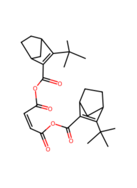 CC(C)(C)C1=C(C(=O)OC(=O)/C=C\C(=O)OC(=O)C2=C(C(C)(C)C)C3CCC2C3)C2CCC1C2